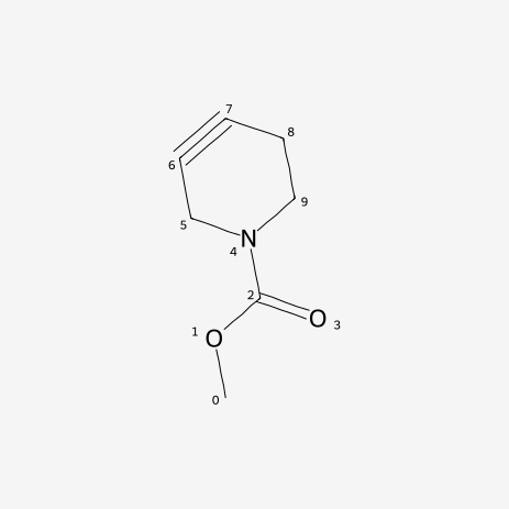 COC(=O)N1CC#CCC1